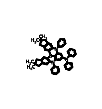 CC1(C)Cc2cc3c(cc2C1)N(c1ccccc1)c1cc(N(c2ccccc2)c2ccccc2)cc2c1B3c1cc3c(cc1N2c1ccccc1)CC(C)(C)C3